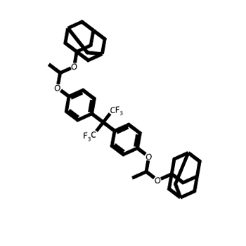 CC(Oc1ccc(C(c2ccc(OC(C)OC34CC5CC(CC(C5)C3)C4)cc2)(C(F)(F)F)C(F)(F)F)cc1)OC12CC3CC(CC(C3)C1)C2